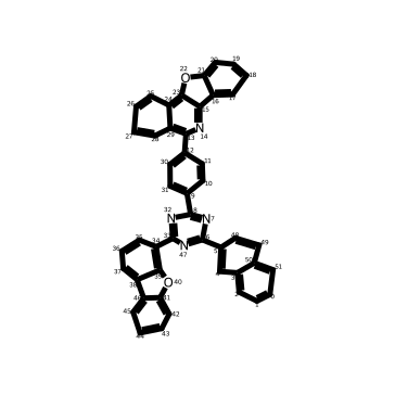 c1ccc2cc(-c3nc(-c4ccc(-c5nc6c7ccccc7oc6c6ccccc56)cc4)nc(-c4cccc5c4oc4ccccc45)n3)ccc2c1